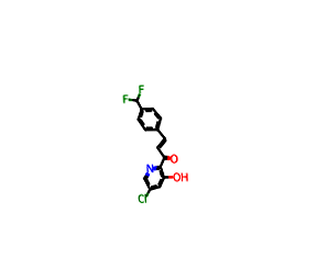 O=C(C=Cc1ccc(C(F)F)cc1)c1ncc(Cl)cc1O